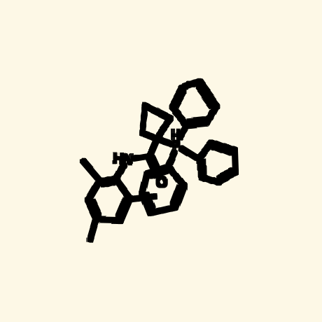 Cc1cc(C)c(NC(=O)C2([PH](c3ccccc3)(c3ccccc3)c3ccccc3)CCC2)c(C)c1